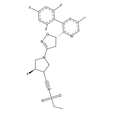 CCS(=O)(=O)[N+]#CC1CN(C2=NO[C@H](c3ncc(C)cc3-c3c(F)cc(F)cc3F)C2)C[C@@H]1F